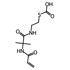 C=CC(=O)NC(C)(C)C(=O)NCCSC(=O)O